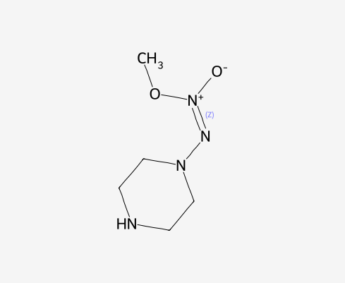 CO/[N+]([O-])=N\N1CCNCC1